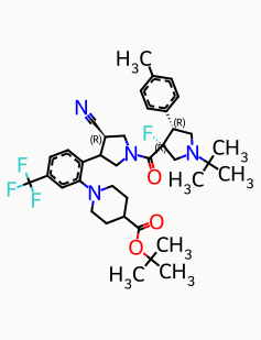 Cc1ccc([C@@H]2CN(C(C)(C)C)C[C@@]2(F)C(=O)N2CC(c3ccc(C(F)(F)F)cc3N3CCC(C(=O)OC(C)(C)C)CC3)[C@@H](C#N)C2)cc1